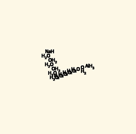 O.O.O.O.O.O.O.O.O.O.O.O.[AlH3].[NaH]